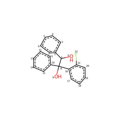 OC(c1ccccc1)C(O)(c1ccccc1)c1ccccc1F